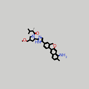 COCC1CC(c2ncc(-c3ccc4c(c3)COc3cc5c(N)c(C)ccc5cc3-4)[nH]2)N(C(=O)[C@@H](C)C(C)C)C1